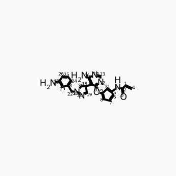 C=CC(=O)Nc1cccc(Oc2ncnc(N)c2C2C=NN(Cc3cccc(N)c3)C2)c1